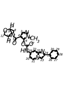 Cn1ncc(C(=O)N2C[C@@H]3C[C@H]2CO3)c1OC(=O)Nc1ccn2cc(-c3ccccc3)nc2c1